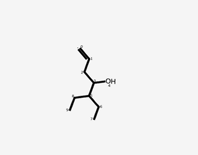 [CH]=CCC(O)C(CC)CC